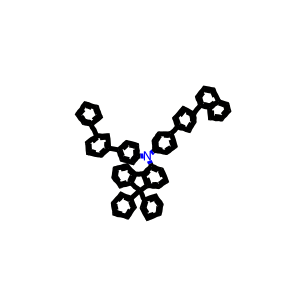 c1ccc(-c2cccc(-c3ccc(N(c4ccc(-c5ccc(-c6cccc7ccccc67)cc5)cc4)c4cccc5c4-c4ccccc4C5(c4ccccc4)c4ccccc4)cc3)c2)cc1